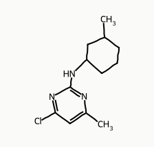 Cc1cc(Cl)nc(NC2CCCC(C)C2)n1